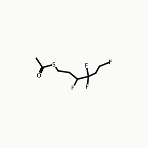 CC(=O)SCCC(F)C(F)(F)CCF